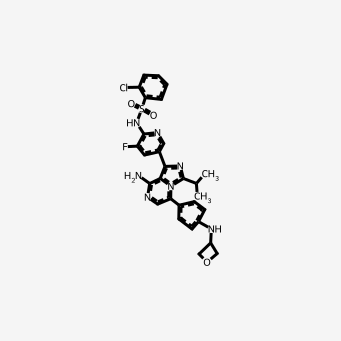 CC(C)c1nc(-c2cnc(NS(=O)(=O)c3ccccc3Cl)c(F)c2)c2c(N)ncc(-c3ccc(NC4COC4)cc3)n12